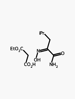 CC(C)CC(=NO)C(N)=O.CCOC(=O)CC(=O)O